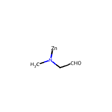 C[N]([Zn])CC=O